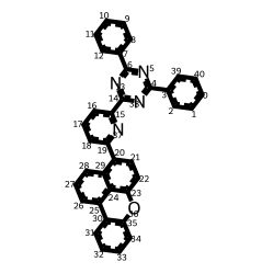 c1ccc(-c2nc(-c3ccccc3)nc(-c3cccc(-c4ccc5c6c(cccc46)-c4ccccc4O5)n3)n2)cc1